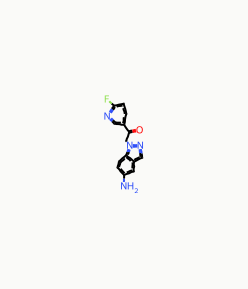 Nc1ccc2c(cnn2CC(=O)c2ccc(F)nc2)c1